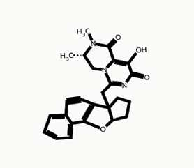 C[C@H]1Cn2c(CC34CCCC3Oc3c4c#cc4ccccc34)nc(=O)c(O)c2C(=O)N1C